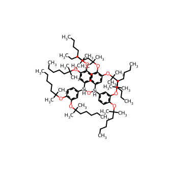 CCCCCC(C)(C)Oc1ccc([SiH](O[SiH](c2ccc(OC(C)(C)CCCCC)c(OC(C)(C)CCCCC)c2)c2ccc(OC(C)(C)CCCCC)c(OC(C)(C)CCCCC)c2)c2ccc(OC(C)(C)CCCCC)c(OC(C)(C)CCCCC)c2)cc1OC(C)(C)CCCCC